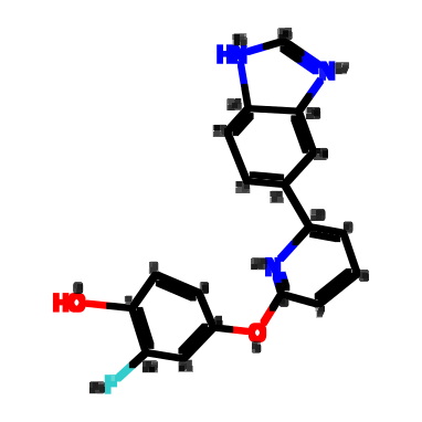 Oc1ccc(Oc2cccc(-c3ccc4[nH]cnc4c3)n2)cc1F